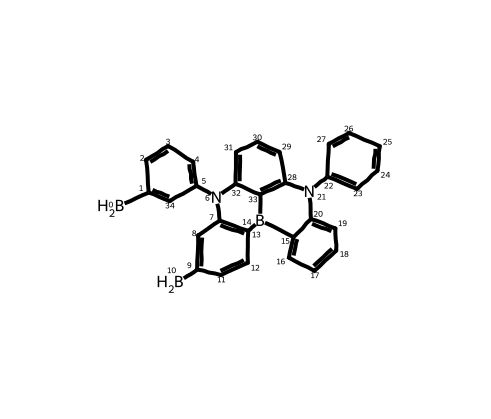 Bc1cccc(N2c3cc(B)ccc3B3c4ccccc4N(c4ccccc4)c4cccc2c43)c1